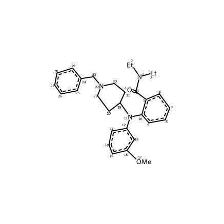 CCN(CC)C(=O)c1ccccc1N(c1cccc(OC)c1)C1CCN(Cc2ccccc2)CC1